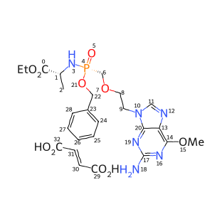 CCOC(=O)[C@@H](C)N[P@](=O)(COCCn1cnc2c(OC)nc(N)nc21)OCc1ccccc1.O=C(O)/C=C/C(=O)O